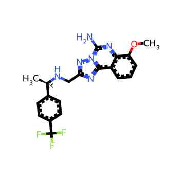 COc1cccc2c1nc(N)n1nc(CN[C@H](C)c3ccc(C(F)(F)F)cc3)nc21